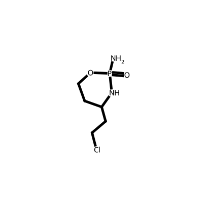 NP1(=O)NC(CCCl)CCO1